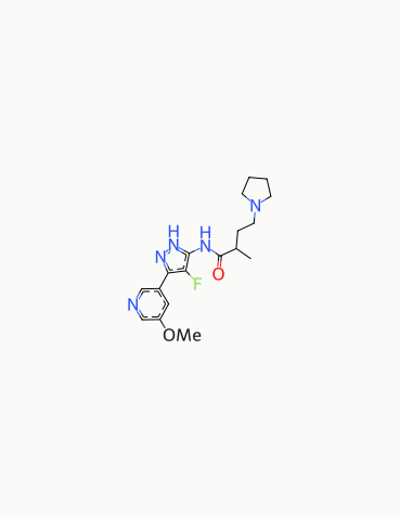 COc1cncc(-c2n[nH]c(NC(=O)C(C)CCN3CCCC3)c2F)c1